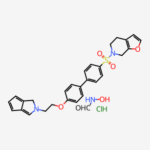 Cl.O=CNO.O=S(=O)(c1ccc(-c2ccc(OCCN3C=C4C=CC=C4C3)cc2)cc1)N1CCc2ccoc2C1